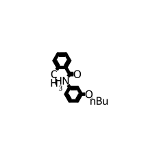 CCCCOc1cccc(NC(=O)c2ccccc2C)c1